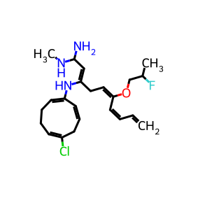 C=C/C=C\C(=C/C/C(=C/C(N)NC)N/C1=C/CC/C=C(/Cl)CC=C1)OCC(C)F